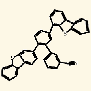 N#Cc1cccc(-c2cc(-c3cccc4c3sc3ccccc34)ccc2-c2ccc3c(c2)sc2ccccc23)c1